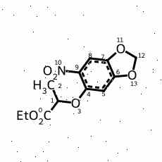 CCOC(=O)C(C)Oc1cc2c(cc1[N+](=O)[O-])OCO2